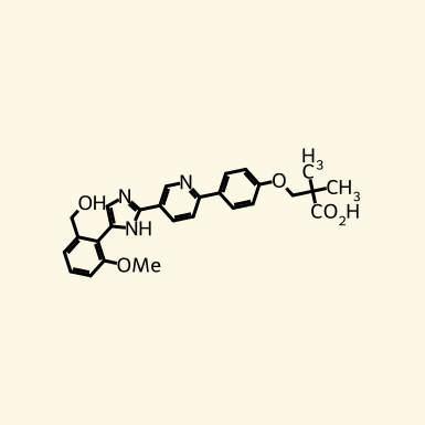 COc1cccc(CO)c1-c1cnc(-c2ccc(-c3ccc(OCC(C)(C)C(=O)O)cc3)nc2)[nH]1